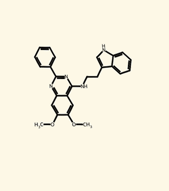 COc1cc2nc(-c3ccccc3)nc(NCCc3c[nH]c4ccccc34)c2cc1OC